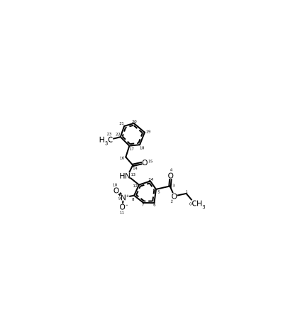 CCOC(=O)c1ccc([N+](=O)[O-])c(NC(=O)Cc2ccccc2C)c1